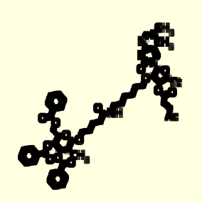 CC[C@H]1O[C@@H](n2ccc(/N=C\N(C)C)nc2=O)[C@@H](OCCCCCCNC(=O)CCCCO[C@@H]2O[C@H](COC(=O)c3ccccc3)[C@H](OC(=O)c3ccccc3)[C@H](OC(=O)c3ccccc3)[C@H]2C)C1OC(=O)CCC(C)=O